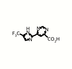 O=C(O)c1cc(-c2ncc(C(F)(F)F)[nH]2)ncn1